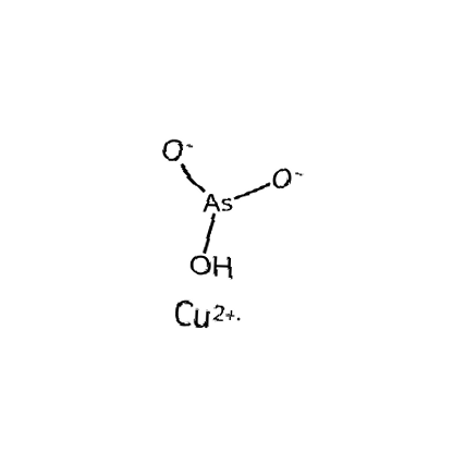 [Cu+2].[O-][As]([O-])O